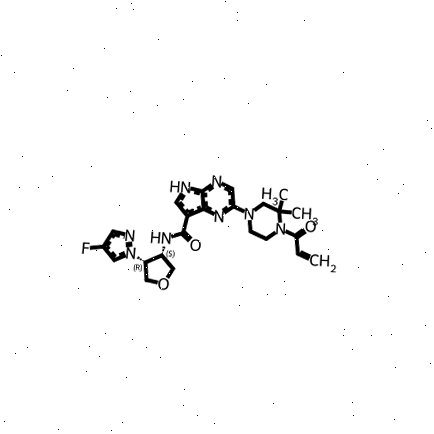 C=CC(=O)N1CCN(c2cnc3[nH]cc(C(=O)N[C@@H]4COC[C@@H]4n4cc(F)cn4)c3n2)CC1(C)C